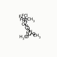 COc1cc(OC)nc(N2CCN(C(=O)Cn3nc(C(F)(F)F)c(Cl)c3C)CC2)n1